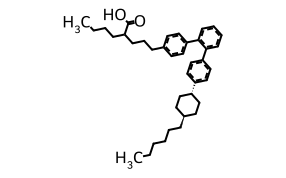 CCCCCC[C@H]1CC[C@H](c2ccc(-c3ccccc3-c3ccc(CCCC(CCCC)C(=O)O)cc3)cc2)CC1